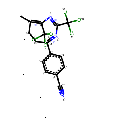 C\C1=C(C(Cl)(Cl)Cl)/N=C(C(Cl)(Cl)Cl)\N=C(\c2ccc(C#N)cc2)CC1